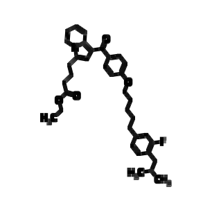 CCOC(=O)CCCc1cc(C(=O)c2ccc(OCCCCCc3ccc(CC(C)C)c(F)c3)cc2)c2ccccn12